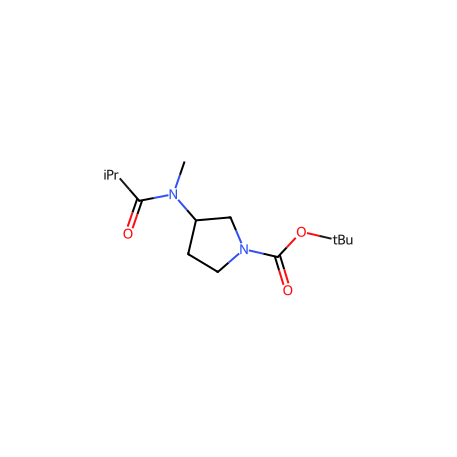 CC(C)C(=O)N(C)C1CCN(C(=O)OC(C)(C)C)C1